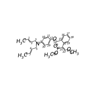 C/C=C/CN(C/C=C/C)c1ccc(OCc2ccccc2/C(=C\OC)C(=O)OC)cc1